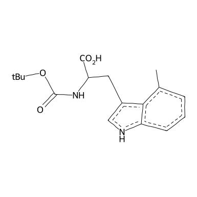 Cc1cccc2[nH]cc(CC(NC(=O)OC(C)(C)C)C(=O)O)c12